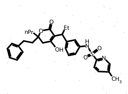 CCCC1(CCc2ccccc2)CC(O)=C(C(CC)c2cccc(NS(=O)(=O)c3ccc(C)cn3)c2)C(=O)O1